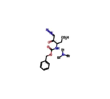 CCN(CC)CC.[N-]=[N+]=CC(=O)C(CC(=O)O)NC(=O)OCc1ccccc1